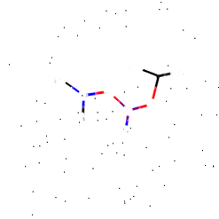 CC(C#N)OP(N)ON(C(C)C)C(C)C